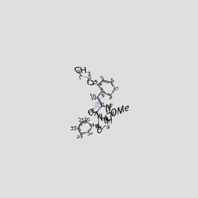 C=CCOc1ccccc1/C=C1\N=C(OC)[C@@H]2CO[C@H](c3ccccc3)N2C1=O